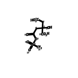 O=C(O)CC(O)(CC(=O)OS(=O)(=O)C(F)(F)F)C(=O)O